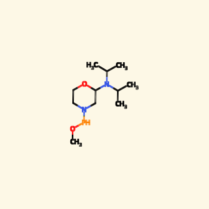 COPN1CCOC(N(C(C)C)C(C)C)C1